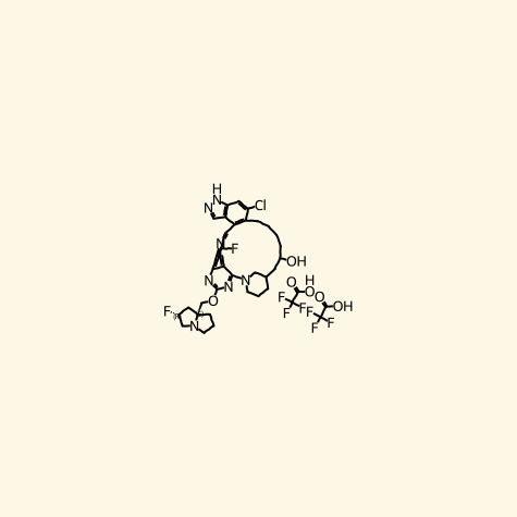 O=C(O)C(F)(F)F.O=C(O)C(F)(F)F.OC1CCCCc2c(Cl)cc3[nH]ncc3c2-c2ncc3c(nc(OC[C@@]45CCCN4C[C@H](F)C5)nc3c2F)N2CCCC(C1)C2